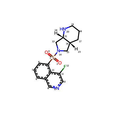 O=S(=O)(c1cccc2cncc(F)c12)N1C[C@H]2CCCN[C@H]2C1